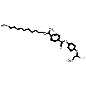 CCCCCCCCCCCCCCCCCCCCOC(C)c1ccc(C(=O)Oc2ccc(OC(CCC)CCCCCCCCCCC)cc2)cc1